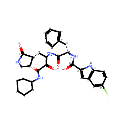 O=C(NC1CCCCC1)C(=O)C(C[C@@H]1CCNC1=O)NC(=O)[C@H](Cc1ccccc1)NC(=O)c1cc2cc(F)ccc2[nH]1